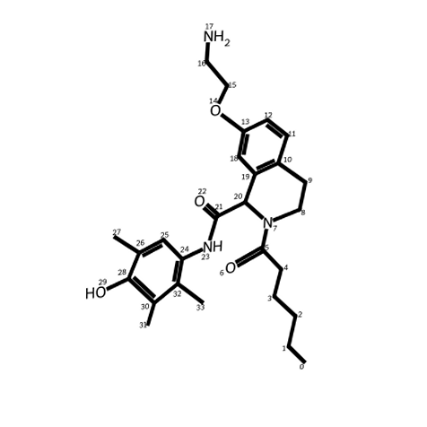 CCCCCC(=O)N1CCc2ccc(OCCN)cc2C1C(=O)Nc1cc(C)c(O)c(C)c1C